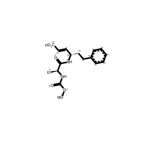 CC[C@H](NC(=O)OC(C)(C)C)C(=O)N[C@H](C=CC(=O)O)CCc1ccccc1